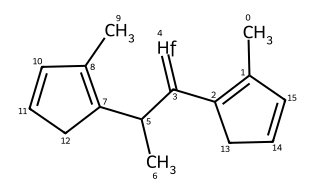 CC1=C([C](=[Hf])C(C)C2=C(C)C=CC2)CC=C1